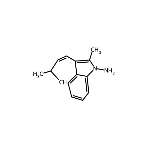 Cc1c(/C=C\C(C)C)c2ccccc2n1N